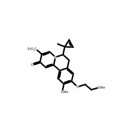 CCOC(=O)c1cn2c(cc1=O)-c1cc(OC)c(OCCOC)cc1CC2C1(C)C=C1